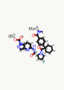 CON(C)C(=O)c1ccc(C2(C(=O)N3C[C@H](F)C[C@@H]3C(=O)Nc3ccc4c(cnn4C(=O)OC(C)(C)C)n3)CCCCC2)cc1